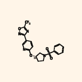 O=S(=O)(c1ccccc1)N1CC[C@H](Oc2ccc(-c3noc(C(F)(F)F)n3)cn2)C1